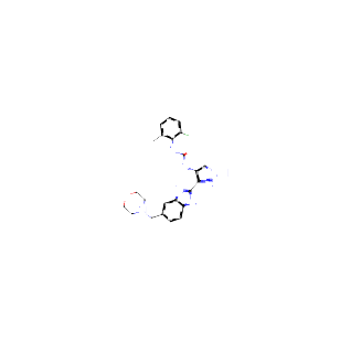 Cc1cccc(F)c1NC(=O)Nc1c[nH]nc1-c1nc2cc(CN3CCOCC3)ccc2[nH]1